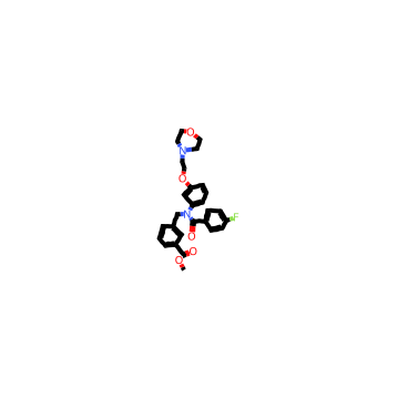 COC(=O)c1cccc(CN(C(=O)c2ccc(F)cc2)c2cccc(OCCN3CCOCC3)c2)c1